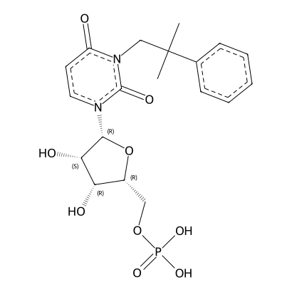 CC(C)(Cn1c(=O)ccn([C@@H]2O[C@H](COP(=O)(O)O)[C@H](O)[C@@H]2O)c1=O)c1ccccc1